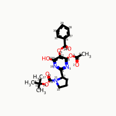 CC(=O)Oc1nc(C2CCCN2C(=O)OC(C)(C)C)nc(O)c1OC(=O)c1ccccc1